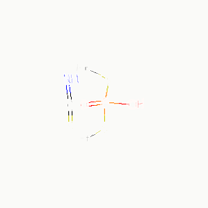 CCSP(=O)(O)SCC.N=C=S